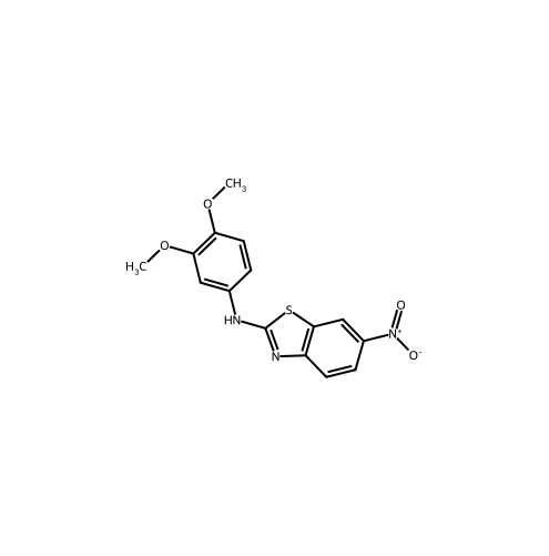 COc1ccc(Nc2nc3ccc([N+](=O)[O-])cc3s2)cc1OC